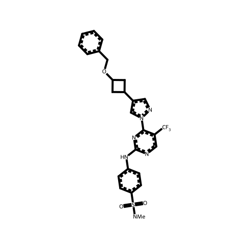 CNS(=O)(=O)c1ccc(Nc2ncc(C(F)(F)F)c(-n3cc(C4CC(OCc5ccccc5)C4)cn3)n2)cc1